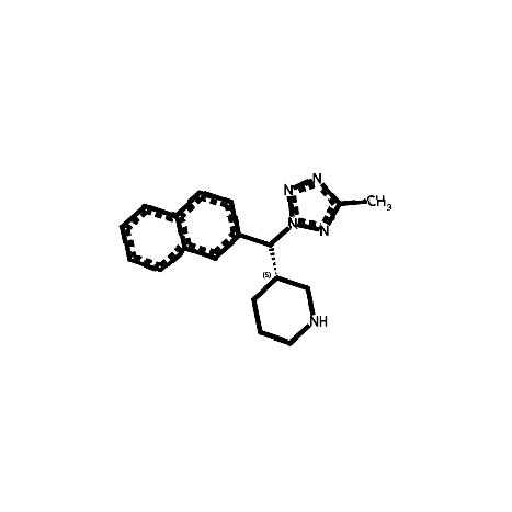 Cc1nnn(C(c2ccc3ccccc3c2)[C@H]2CCCNC2)n1